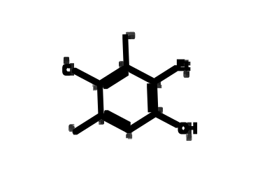 CCc1c(O)cc(C)c(Cl)c1C